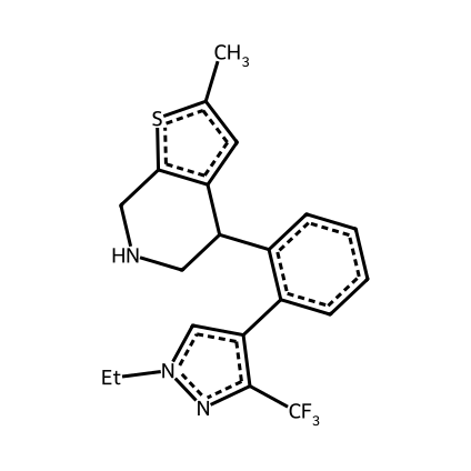 CCn1cc(-c2ccccc2C2CNCc3sc(C)cc32)c(C(F)(F)F)n1